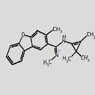 C/N=C(/NC1=C(C)C1(C)C)c1cc2c(cc1C)oc1ccccc12